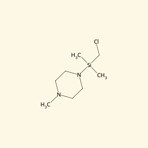 CN1CCN([Si](C)(C)CCl)CC1